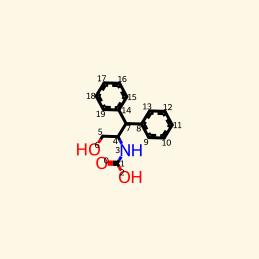 O=C(O)NC(CO)C(c1ccccc1)c1ccccc1